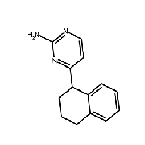 Nc1nccc(C2CCCc3ccccc32)n1